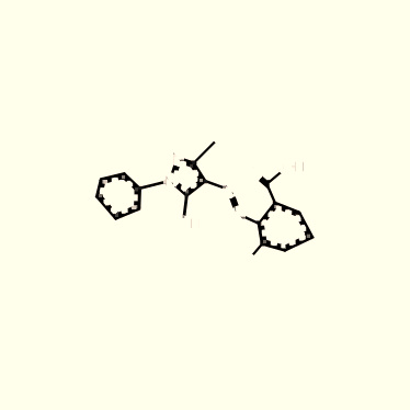 Cc1nn(-c2ccccc2)c(O)c1N=Nc1c(O)cccc1C(=O)O